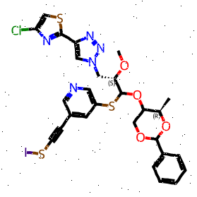 CO[C@@H](Cn1cc(-c2nc(Cl)cs2)nn1)C(OC1COC(c2ccccc2)O[C@@H]1C)Sc1cncc(C#CSI)c1